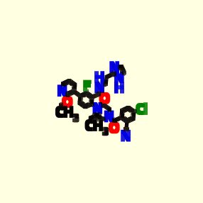 CCOc1ncccc1-c1ccc(N2CCN(C(=O)c3ccc(Cl)cc3C#N)C[C@H]2CC)c(C(=O)NCCc2ncc[nH]2)c1F